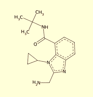 CC(C)(C)NC(=O)c1cccc2nc(CN)n(C3CC3)c12